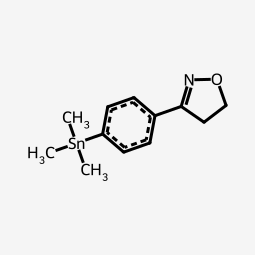 [CH3][Sn]([CH3])([CH3])[c]1ccc(C2=NOCC2)cc1